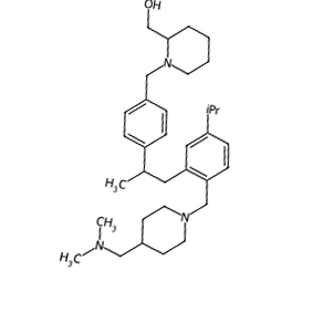 CC(C)c1ccc(CN2CCC(CN(C)C)CC2)c(CC(C)c2ccc(CN3CCCCC3CO)cc2)c1